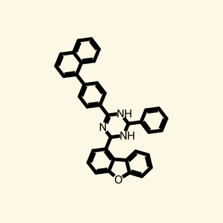 c1ccc(C2NC(c3ccc(-c4cccc5ccccc45)cc3)=NC(c3cccc4oc5ccccc5c34)N2)cc1